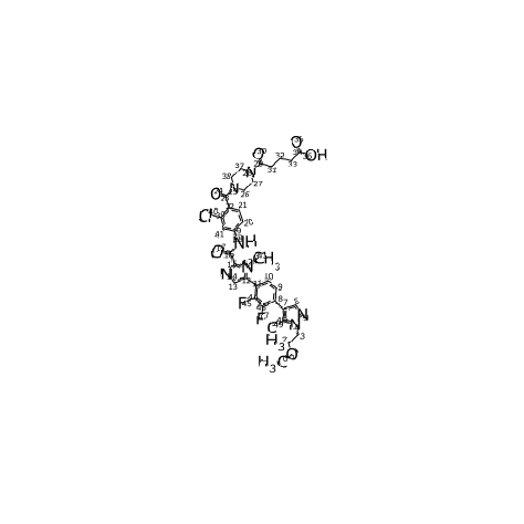 COCCn1ncc(-c2ccc(-c3cnc(C(=O)Nc4ccc(C(=O)N5CCN(C(=O)CCCC(=O)O)CC5)c(Cl)c4)n3C)c(F)c2F)c1C